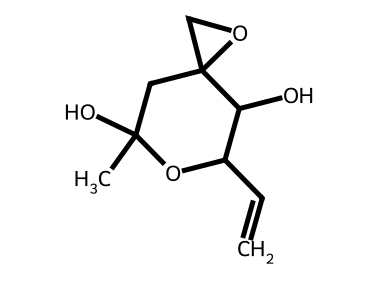 C=CC1OC(C)(O)CC2(CO2)C1O